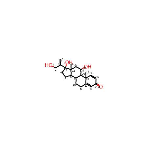 C=C(CO)C1(O)CCC2C3CCC4=CC(=O)C=CC4(C)C3C(O)CC21C